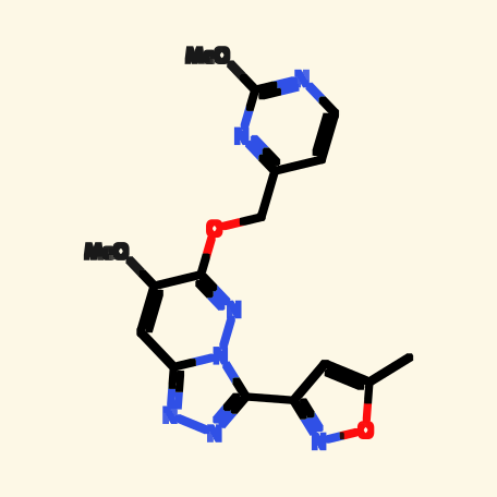 COc1nccc(COc2nn3c(-c4cc(C)on4)nnc3cc2OC)n1